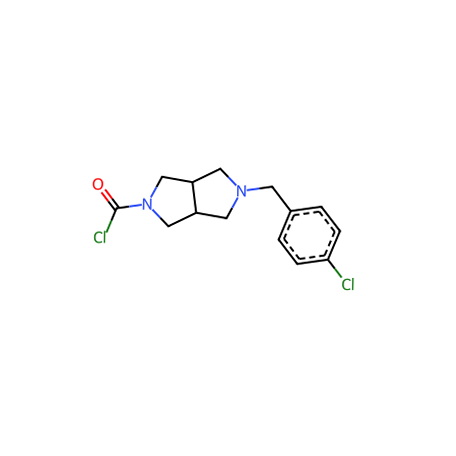 O=C(Cl)N1CC2CN(Cc3ccc(Cl)cc3)CC2C1